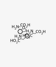 NC(CC(=O)O)C(=O)O.NC(Cc1ccccc1)C(=O)O.NCC(=O)O.c1ccc2c(c1)CCO2